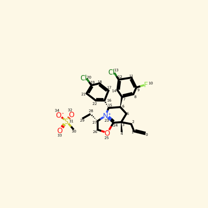 C=CC[C@@]1(C)C[C@H](c2cc(F)cc(Cl)c2)[C@@H](c2ccc(Cl)cc2)[N+]2=C1OC[C@@H]2CC.CS(=O)(=O)[O-]